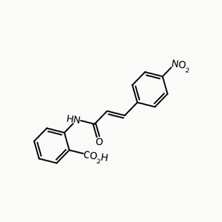 O=C(C=Cc1ccc([N+](=O)[O-])cc1)Nc1ccccc1C(=O)O